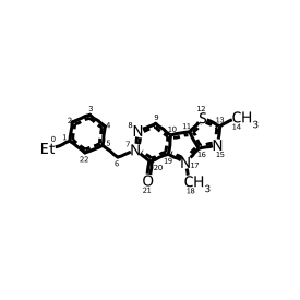 CCc1cccc(Cn2ncc3c4sc(C)nc4n(C)c3c2=O)c1